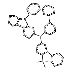 CC1(C)c2ccccc2-c2cc(N(c3cccc(-c4ccccc4)c3)c3ccc4c5ccccc5n(-c5ccccc5)c4c3)ccc21